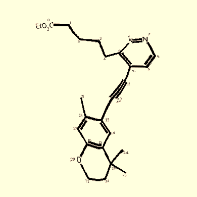 CCOC(=O)CCCCc1nnccc1C#Cc1cc2c(cc1C)OCCC2(C)C